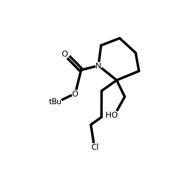 CC(C)(C)OC(=O)N1CCCCC1(CO)CCCCl